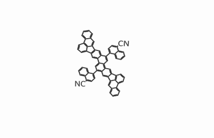 N#Cc1ccc(-c2cc3c4cc5c(cc4c(-c4ccc(C#N)c6ccccc46)cc3c3cc4c(cc23)-c2cc3ccccc3c3cccc-4c23)-c2cc3ccccc3c3cccc-5c23)c2ccccc12